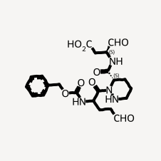 O=CCCC(NC(=O)OCc1ccccc1)C(=O)N1NCCC[C@H]1C(=O)N[C@H](C=O)CC(=O)O